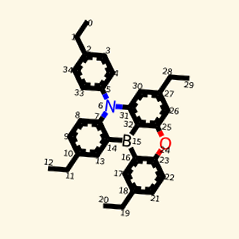 CCc1ccc(N2c3ccc(CC)cc3B3c4cc(CC)ccc4Oc4cc(CC)cc2c43)cc1